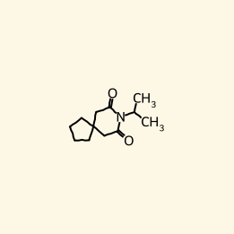 CC(C)N1C(=O)CC2(CCCC2)CC1=O